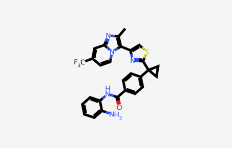 Cc1nc2cc(C(F)(F)F)ccn2c1-c1csc(C2(c3ccc(C(=O)Nc4ccccc4N)cc3)CC2)n1